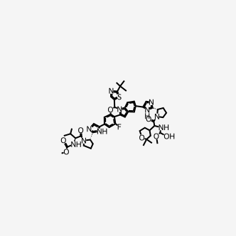 COC(=O)N[C@H](C(=O)N1CCC[C@H]1c1ncc(-c2cc(F)c3c(c2)OC(c2cnc(C(C)(C)C)s2)n2c-3cc3cc(-c4cnc([C@@H]5CCCN5C(=O)C(NC(O)OC)C5CCOC(C)(C)C5)[nH]4)ccc32)[nH]1)C(C)C